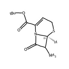 CC(C)(C)OC(=O)C1=CCS[C@H]2C(N)C(=O)N12